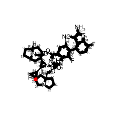 CP(C)(=O)N1[C@H](C(=O)N2C3CC[C@@H](Oc4nc(OC[C@@]56CCCN5C[C@H](F)C6)nc5c(F)c(-c6ccc(F)c7sc(N)c(C#N)c67)c(Cl)cc45)C[C@H]2CC3)[C@@H]1C1CC1